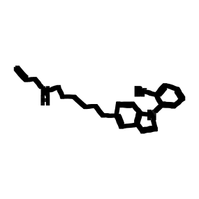 C=CCNCCCCCCc1ccc2c(ccn2-c2ccccc2Br)c1